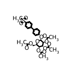 CC(=O)OC[C@H]1O[C@H](Oc2ccc(-c3ccc(S(C)(=O)=O)cc3)cc2)[C@@H](OC(C)=O)[C@@H](OC(C)=O)[C@@H]1OC(C)=O